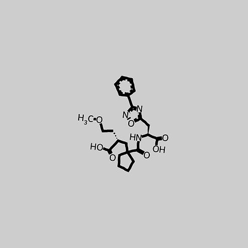 COCC[C@H](CC1(C(=O)N[C@@H](Cc2nc(-c3ccccc3)no2)C(=O)O)CCCC1)C(=O)O